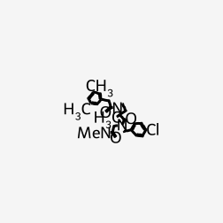 CNC(=O)CN(Cc1ccc(Cl)cc1)C(=O)C1(C)CCN1C(=O)Cc1cc(C)cc(C)c1